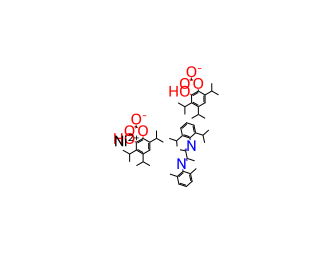 CC(=Nc1c(C)cccc1C)C(C)=Nc1c(C(C)C)cccc1C(C)C.CC(C)c1cc(C(C)C)c(C(C)C)c(O)c1OC(=O)[O-].CC(C)c1cc(C(C)C)c(C(C)C)c(O)c1OC(=O)[O-].[Ni+2]